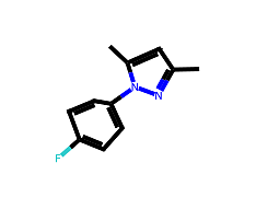 Cc1[c]c(C)n(-c2ccc(F)cc2)n1